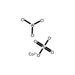 O=S(=O)([O-])[O-].[Cl][Al]([Cl])[Cl].[Co+2]